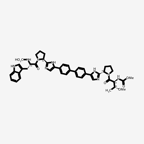 COC(=O)N[C@H](C(=O)N1CCC[C@H]1c1ncc(-c2ccc(-c3ccc(-c4cnc([C@@H]5CCCN5C(=O)[C@H](Cc5c[nH]c6ccccc56)NC(=O)O)[nH]4)cc3)cc2)[nH]1)[C@@H](C)OC